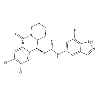 O=C(Nc1cc(F)c2[nH]ncc2c1)O[C@@H](c1ccc(Cl)c(Cl)c1)C1CCCCN1C(=O)O